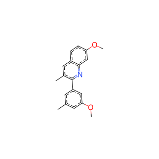 COc1cc(C)cc(-c2nc3cc(OC)ccc3cc2C)c1